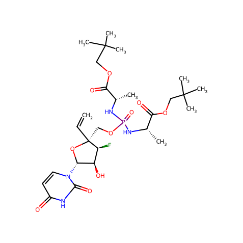 C=C[C@]1(COP(=O)(N[C@@H](C)C(=O)OCC(C)(C)C)N[C@@H](C)C(=O)OCC(C)(C)C)O[C@@H](n2ccc(=O)[nH]c2=O)[C@H](O)[C@@H]1F